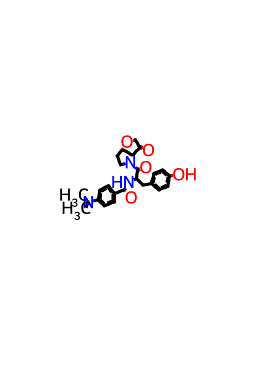 CN(C)c1ccc(C(=O)NC(Cc2ccc(O)cc2)C(=O)N2CCC3OCC(=O)C32)cc1